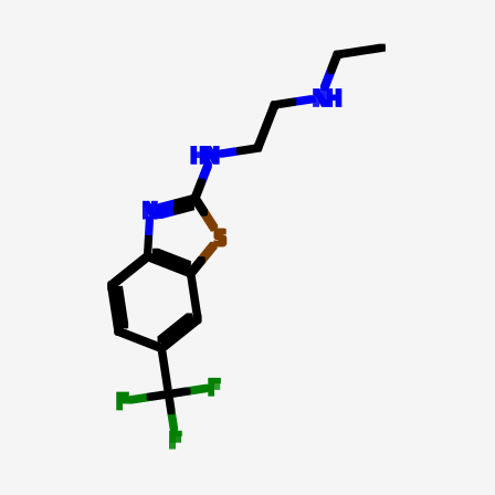 CCNCCNc1nc2ccc(C(F)(F)F)cc2s1